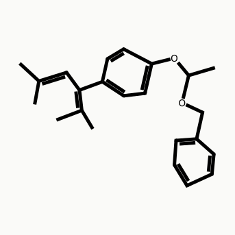 CC(C)=CC(=C(C)C)c1ccc(OC(C)OCc2ccccc2)cc1